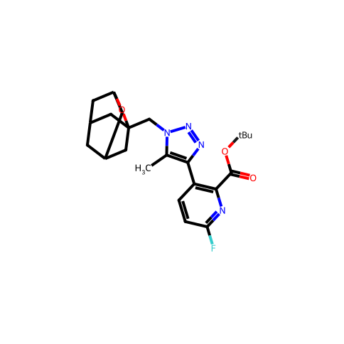 Cc1c(-c2ccc(F)nc2C(=O)OC(C)(C)C)nnn1CC12CC3CC(CC(C3)O1)C2